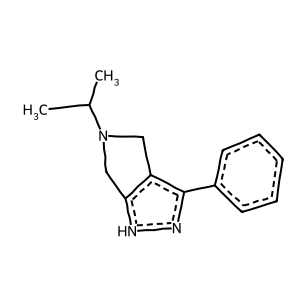 CC(C)N1Cc2[nH]nc(-c3ccccc3)c2C1